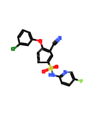 N#Cc1cc(S(=O)(=O)Nc2ccc(F)cn2)ccc1Oc1cccc(Cl)c1